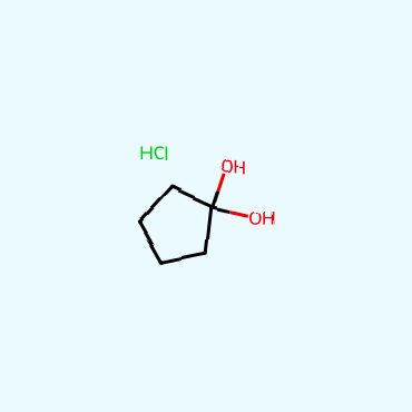 Cl.OC1(O)CCCC1